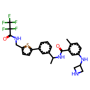 Cc1ccc(NC2CNC2)cc1C(=O)NC(C)c1cccc(-c2ccc(CNC(=O)C(F)(F)C(F)(F)F)s2)c1